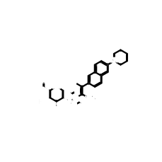 C/C(=C(/C#N)S(=O)(=O)N[C@H]1CO[C@H](CO)[C@@H](O)[C@@H]1O)c1ccc2cc(N3CCCCC3)ccc2c1